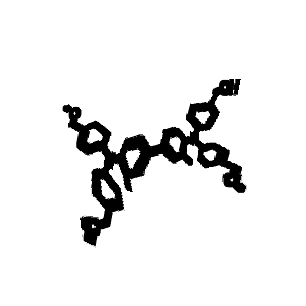 COCc1ccc(N(c2ccc(CO)cc2)c2ccc(-c3ccc(N(c4ccc(COC)cc4)c4ccc(COC)cc4)c(C)c3)cc2C)cc1